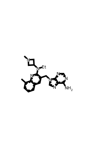 CCN(c1nc2c(C)cccc2cc1Cn1cnc2c(N)ncnc21)C1CN(C)C1